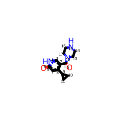 O=C(c1c[nH]c(=O)cc1C1CC1)N1CCNCC1